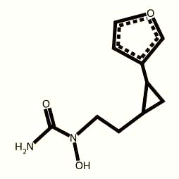 NC(=O)N(O)CCC1CC1c1ccoc1